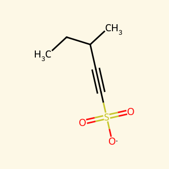 CCC(C)C#CS([O])(=O)=O